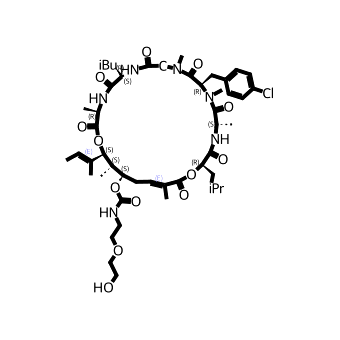 C/C=C(\C)[C@H]1OC(=O)[C@@H](C)NC(=O)[C@H]([C@H](C)CC)NC(=O)CN(C)C(=O)[C@@H](Cc2ccc(Cl)cc2)N(C)C(=O)[C@H](C)NC(=O)[C@@H](CC(C)C)OC(=O)/C(C)=C/C[C@H](OC(=O)NCCOCCO)[C@@H]1C